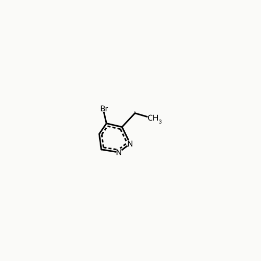 C[CH]c1nnccc1Br